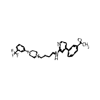 CC(=O)c1cccc(-c2ccnc(NCCCCN3CCN(c4cccc(C(F)(F)F)c4)CC3)c2)c1